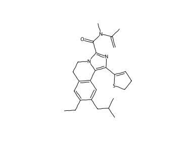 C=C(C)N(C)C(=O)c1nc(C2=CCCS2)c2n1CCc1cc(CC)c(CC(C)C)cc1-2